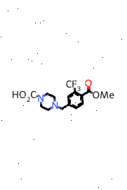 COC(=O)c1ccc(CN2CCN(C(=O)O)CC2)cc1C(F)(F)F